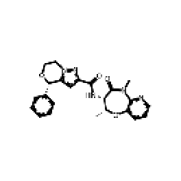 C[C@H]1Oc2cccnc2N(C)C(=O)[C@H]1NC(=O)c1cc2n(n1)CCO[C@H]2c1ccccc1